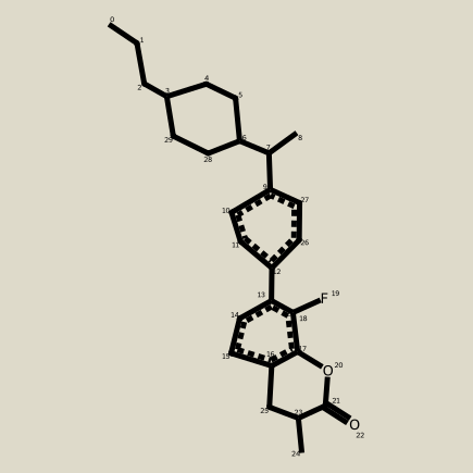 CCCC1CCC(C(C)c2ccc(-c3ccc4c(c3F)OC(=O)C(C)C4)cc2)CC1